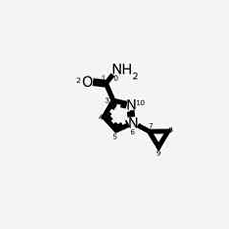 NC(=O)c1ccn(C2CC2)n1